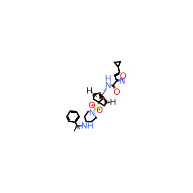 C[C@H](NC1CCN(S(=O)(=O)C23C[C@H]4CC2[C@H](C[C@@H](NC(=O)c2cc(C5CC5)on2)C4)C3)CC1)c1ccccc1